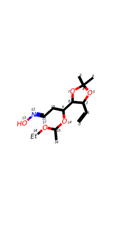 C=CC1OC(C)(C)OC1C(C/C=N/O)OC(C)OCC